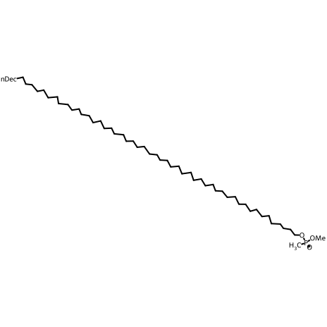 CCCCCCCCCCCCCCCCCCCCCCCCCCCCCCCCCCCCCCCCCCCCCCCCCCCCCCCCCCCCOP(C)(=O)OC